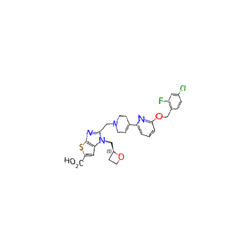 O=C(O)c1cc2c(nc(CN3CC=C(c4cccc(OCc5ccc(Cl)cc5F)n4)CC3)n2C[C@@H]2CCO2)s1